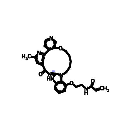 C=CC(=O)NCCOc1cccc2c1N1CCCCCOc3cnccc3-c3cc(cc(C)n3)C(=O)/N=C/1N2